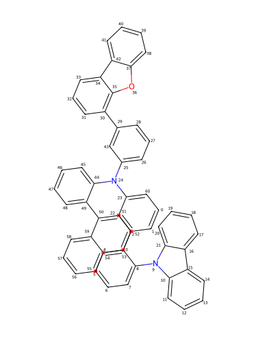 c1cc(-c2ccccc2-n2c3ccccc3c3ccccc32)cc(N(c2cccc(-c3cccc4c3oc3ccccc34)c2)c2ccccc2-c2cccc3ccccc23)c1